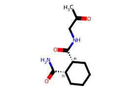 CC(=O)CNC(=O)[C@@H]1CCCC[C@@H]1C(N)=O